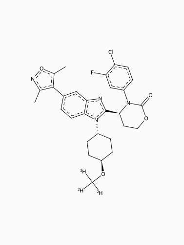 [2H]C([2H])([2H])O[C@H]1CC[C@H](n2c([C@@H]3CCOC(=O)N3c3ccc(Cl)c(F)c3)nc3cc(-c4c(C)noc4C)ccc32)CC1